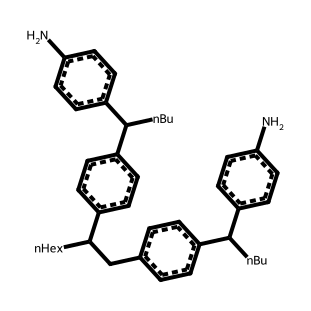 CCCCCCC(Cc1ccc(C(CCCC)c2ccc(N)cc2)cc1)c1ccc(C(CCCC)c2ccc(N)cc2)cc1